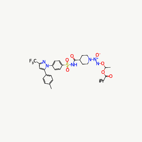 Cc1ccc(-c2cc(C(F)(F)F)nn2-c2ccc(S(=O)(=O)NC(=O)C3CCN([N+]([O-])=NOC(C)OC(=O)C(C)C)CC3)cc2)cc1